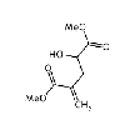 C=C(CC(O)C(=O)OC)C(=O)OC